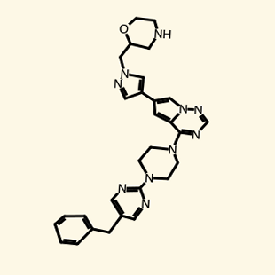 c1ccc(Cc2cnc(N3CCN(c4ncnn5cc(-c6cnn(CC7CNCCO7)c6)cc45)CC3)nc2)cc1